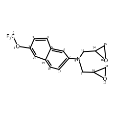 FC(F)(F)Oc1ccc2cc(N(CC3CO3)CC3CO3)ccc2c1